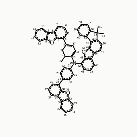 CC1CC(c2cccc3c2oc2ccccc23)=CC=C1N(c1ccc(-c2cccc3c2oc2ccccc23)cc1)c1cccc2c1oc1c3c(ccc12)C(C)(C)c1ccccc1-3